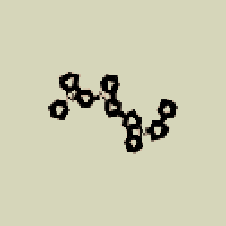 C1=CC2c3cc(-c4ccc5c(c4)c4ccccc4n5-c4ccc5c(c4)c4ccccc4n5-c4ccccc4)ccc3N(c3cccc(-c4ccccc4)c3)C2C=C1